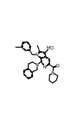 Cc1cccc(Cn2c(C)c(C)c3cc(C(=O)N4CCCCC4)nc(N4CCc5ccccc5C4)c32)c1.Cl